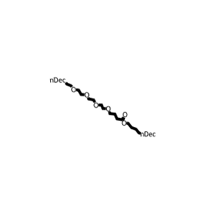 CCCCCCCCCCCCCCOC(=O)CCCOCCOCCOCCOCCCCCCCCCCCC